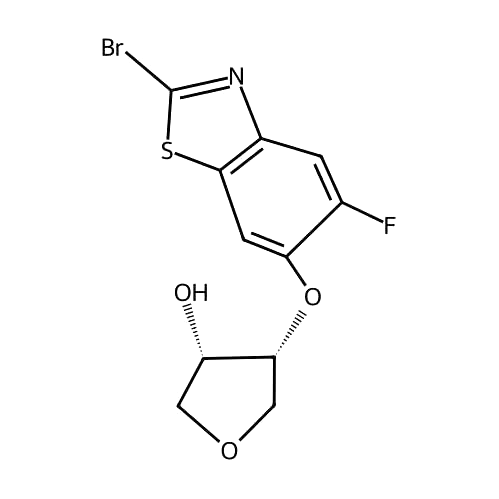 O[C@H]1COC[C@H]1Oc1cc2sc(Br)nc2cc1F